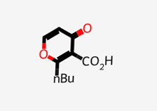 CCCCc1occc(=O)c1C(=O)O